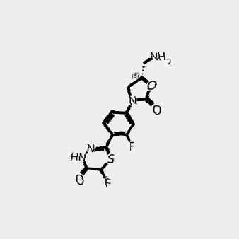 NC[C@H]1CN(c2ccc(C3=NNC(=O)C(F)S3)c(F)c2)C(=O)O1